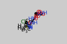 Cc1sc2c(c1C)C(C1=CC(C)C(Cl)C=C1)=N[C@@H](CC(=O)NCCCCNC(=O)COc1cccc3c1C(=O)N(C1CCC(=O)NC1=O)C3=O)c1nnc(C)n1-2